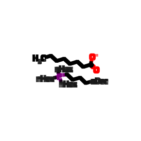 CCCCCCCC(=O)[O-].CCCCCCCCCCCCCC[P+](CCCCCC)(CCCCCC)CCCCCC